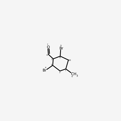 CC1CC(Br)C(C=O)C(Br)C1